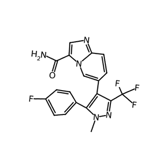 Cn1nc(C(F)(F)F)c(-c2ccc3ncc(C(N)=O)n3c2)c1-c1ccc(F)cc1